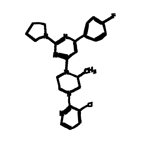 CC1CN(c2ncccc2Cl)CCN1c1cc(-c2ccc(F)cc2)nc(N2CCCC2)n1